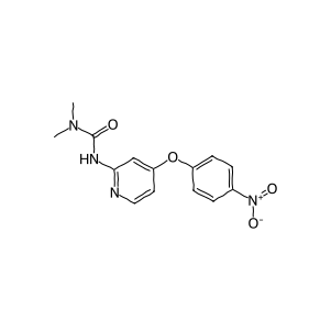 CN(C)C(=O)Nc1cc(Oc2ccc([N+](=O)[O-])cc2)ccn1